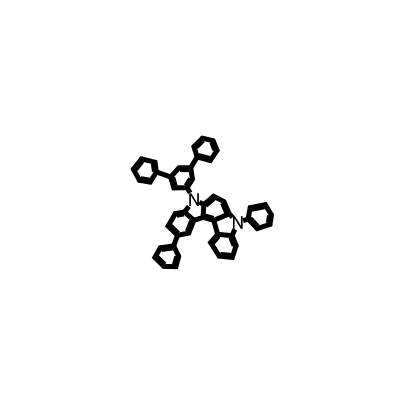 c1ccc(-c2cc(-c3ccccc3)cc(-n3c4ccc(-c5ccccc5)cc4c4c5c6ccccc6n(-c6ccccc6)c5ccc43)c2)cc1